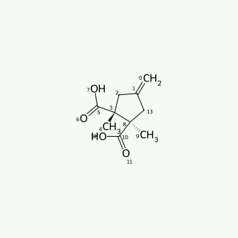 C=C1C[C@@](C)(C(=O)O)[C@](C)(C(=O)O)C1